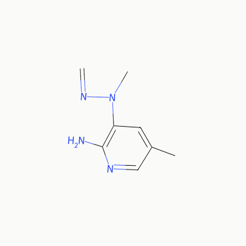 C=NN(C)c1cc(C)cnc1N